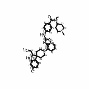 CN1CCC(N(C)C(=O)c2ccc(Nc3nc4c(N5CCC(c6ccc(Cl)cc6)(C(O)CO)CC5)cccn4n3)cc2)CC1